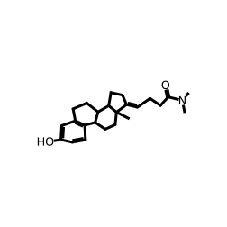 CN(C)C(=O)CC/C=C1\CCC2C3CCc4cc(O)ccc4C3CCC12C